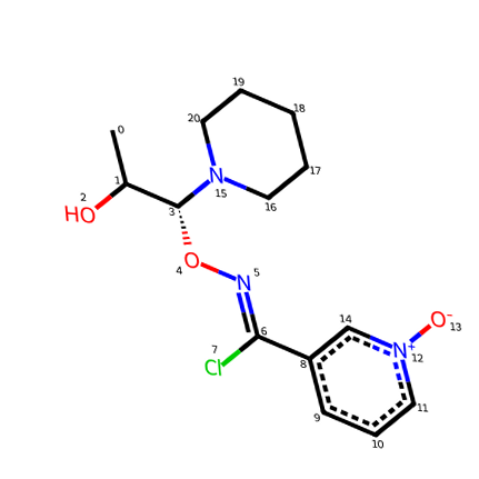 CC(O)[C@@H](ON=C(Cl)c1ccc[n+]([O-])c1)N1CCCCC1